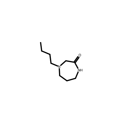 CCCCN1CCCNC(=O)C1